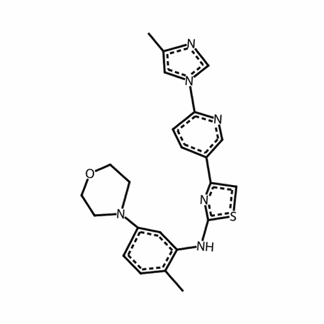 Cc1cn(-c2ccc(-c3csc(Nc4cc(N5CCOCC5)ccc4C)n3)cn2)cn1